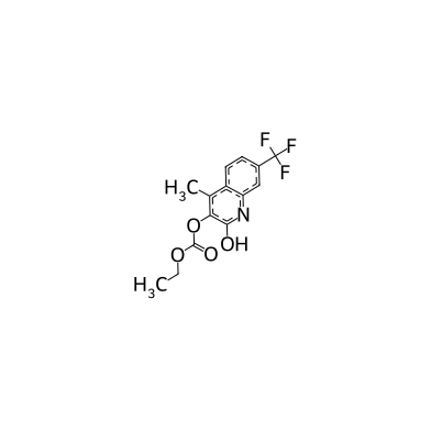 CCOC(=O)Oc1c(O)nc2cc(C(F)(F)F)ccc2c1C